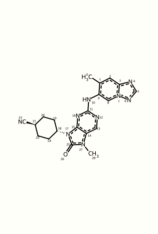 Cc1cc2ncnn2cc1Nc1ncc2c(n1)n([C@H]1CC[C@H](C#N)CC1)c(=O)n2C